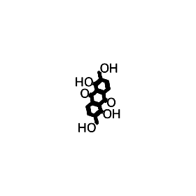 O=C1c2ccc(CO)c(O)c2C(=O)c2ccc(CO)c(O)c21